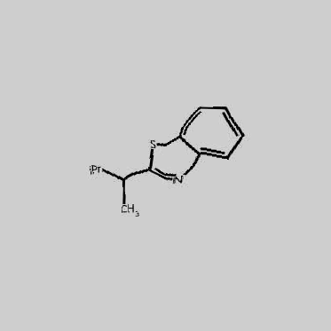 CC(C)C(C)c1nc2ccccc2s1